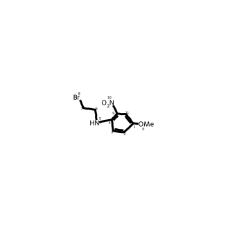 COc1ccc(NCCBr)c([N+](=O)[O-])c1